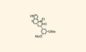 CCn1c(=O)c(-c2cc(OC)cc(OC)c2)cc2cnc3[nH]ccc3c21